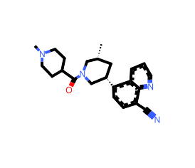 C[C@@H]1C[C@H](c2ccc(C#N)c3ncccc23)CN(C(=O)C2CCN(C)CC2)C1